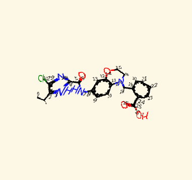 CCc1[nH]c(C(=O)Nc2ccc3c(c2)OCCN3Cc2ccccc2C(=O)O)nc1Cl